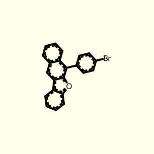 Brc1ccc(-c2c3ccccc3cc3c2oc2ccccc23)cc1